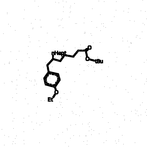 CCCCCCCC(CCCCC(=O)OC(C)(C)C)Cc1ccc(OCC)cc1